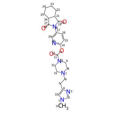 Cn1cnc(CCN2CCN(C(=O)Oc3ccc(N4C(=O)C5CCCCC5C4=O)cn3)CC2)c1